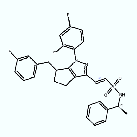 C[C@H](NS(=O)(=O)/C=C/c1nn(-c2ccc(F)cc2F)c2c1CCC2Cc1cccc(F)c1)c1ccccc1